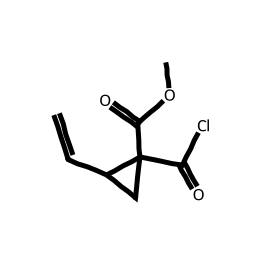 C=CC1CC1(C(=O)Cl)C(=O)OC